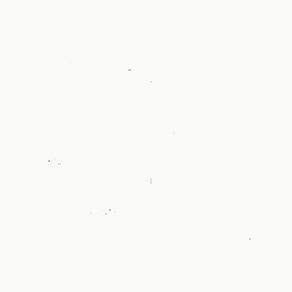 C=CCC(OC1CCC(=O)NC1=O)N(CCC)CC(OC)OC